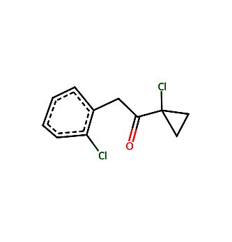 O=C(Cc1ccccc1Cl)C1(Cl)CC1